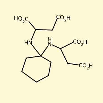 O=C(O)CC(NC1(NC(CC(=O)O)C(=O)O)CCCCC1)C(=O)O